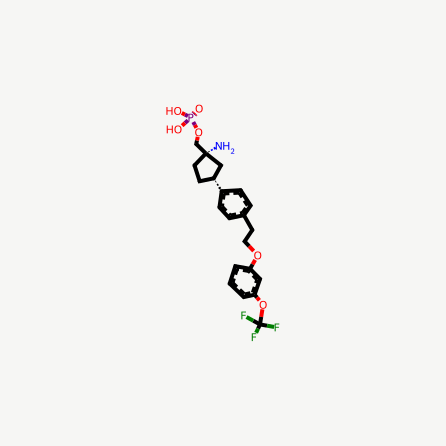 N[C@@]1(COP(=O)(O)O)CC[C@@H](c2ccc(CCOc3cccc(OC(F)(F)F)c3)cc2)C1